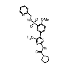 COc1ccc(-c2sc(NC(=O)C3CCCC3)nc2C)cc1S(=O)(=O)NCc1ccccn1